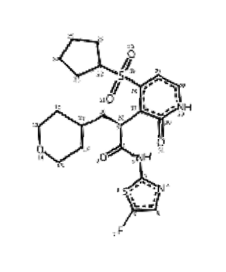 O=C(Nc1ncc(F)s1)[C@@H](CC1CCOCC1)c1c(S(=O)(=O)C2CCCC2)cc[nH]c1=O